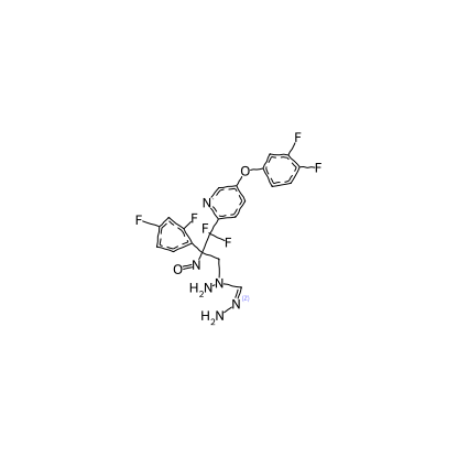 N/N=C\N(N)CC(N=O)(c1ccc(F)cc1F)C(F)(F)c1ccc(Oc2ccc(F)c(F)c2)cn1